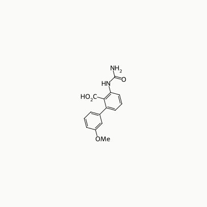 COc1cccc(-c2cccc(NC(N)=O)c2C(=O)O)c1